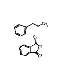 CCCc1ccccc1.O=C1OC(=O)c2ccccc21